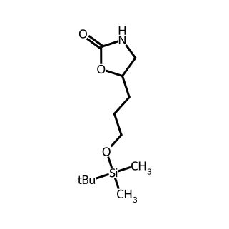 CC(C)(C)[Si](C)(C)OCCCC1CNC(=O)O1